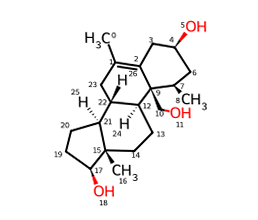 CC1=C2C[C@@H](O)C[C@@H](C)[C@]2(CO)[C@H]2CC[C@]3(C)[C@@H](O)CC[C@H]3[C@@H]2C1